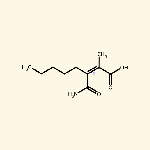 CCCCC/C(C(N)=O)=C(\C)C(=O)O